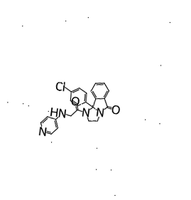 O=C(CNc1ccncc1)N1CCN2C(=O)c3ccccc3C12c1ccc(Cl)cc1